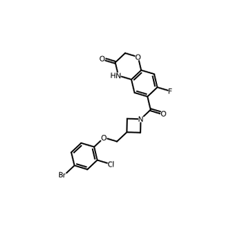 O=C1COc2cc(F)c(C(=O)N3CC(COc4ccc(Br)cc4Cl)C3)cc2N1